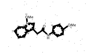 COc1ccc(NC(=O)Cc2cn(OC)c3ccccc23)cc1